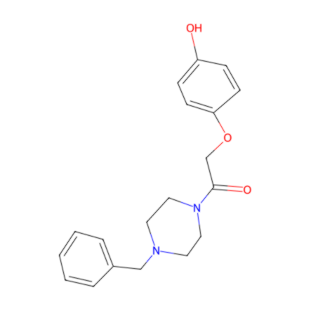 O=C(COc1ccc(O)cc1)N1CCN(Cc2ccccc2)CC1